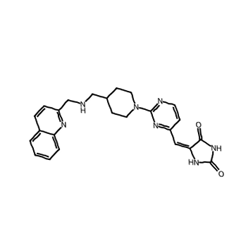 O=C1NC(=O)/C(=C\c2ccnc(N3CCC(CNCc4ccc5ccccc5n4)CC3)n2)N1